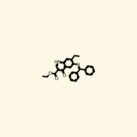 CCOC(=O)c1c[nH]c2cc(CC)c(N=C(c3ccccc3)c3ccccc3)cc2c1=O